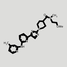 COCCN(C)C(=O)C1CCN(c2ncc(-c3cccc(Nc4cc(C)ccn4)n3)s2)CC1